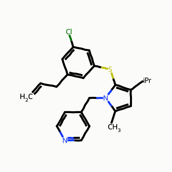 C=CCc1cc(Cl)cc(Sc2c(C(C)C)cc(C)n2Cc2ccncc2)c1